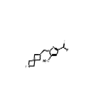 Cc1cc(C(F)F)nn1CC1CC2(CNC2)C1